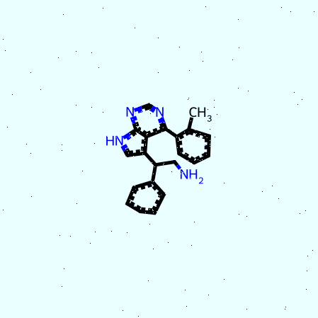 Cc1ccccc1-c1ncnc2[nH]cc(C(CN)c3ccccc3)c12